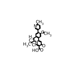 COc1cc2c(cc1-c1ccc(C)nc1)CC(C(C)(C)C)n1cc(C(=O)O)c(=O)cc1-2